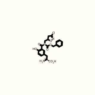 N[C@@H](Cc1ccc(O)c(C(=O)N(CC2CC(Cl)=NO2)C(=O)OCc2ccccc2)c1)C(=O)O